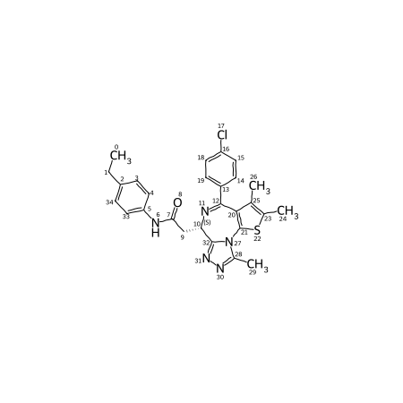 CCc1ccc(NC(=O)C[C@@H]2N=C(c3ccc(Cl)cc3)c3c(sc(C)c3C)-n3c(C)nnc32)cc1